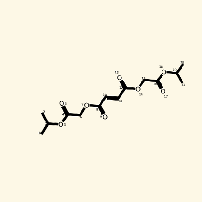 CC(C)OC(=O)COC(=O)/C=C/C(=O)OCC(=O)OC(C)C